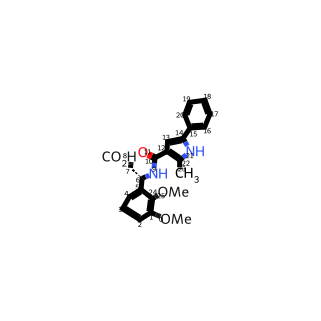 COc1cccc([C@H](CC(=O)O)NC(=O)c2cc(-c3ccccc3)[nH]c2C)c1OC